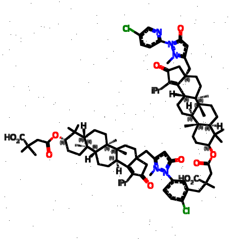 CC(C)C1=C2[C@H]3CC[C@@H]4[C@@]5(C)CC[C@H](OC(=O)CC(C)(C)C(=O)O)C(C)(C)[C@@H]5CC[C@@]4(C)[C@]3(C)CCC2(Cc2cc(=O)n(-c3ccc(Cl)c(CC(C)(CC(=O)O[C@H]4CC[C@]5(C)[C@H]6CC[C@@H]7C8=C(C(C)C)C(=O)C[C@]8(Cc8cc(=O)n(-c9ccc(Cl)cn9)n8C)CC[C@@]7(C)[C@]6(C)CC[C@H]5C4(C)C)C(=O)O)c3)n2C)CC1=O